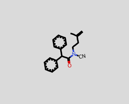 C=C(C)CCN(C#N)C(=O)C(c1ccccc1)c1ccccc1